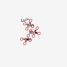 [Lu+3].[O]=[Mn](=[O])(=[O])[O-].[O]=[Mn](=[O])(=[O])[O-].[O]=[Mn](=[O])(=[O])[O-]